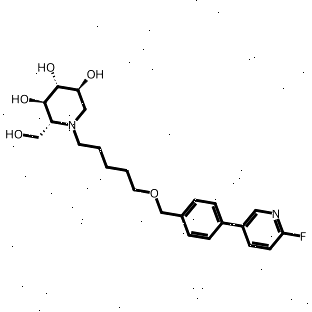 OC[C@@H]1[C@@H](O)[C@H](O)[C@@H](O)CN1CCCCCOCc1ccc(-c2ccc(F)nc2)cc1